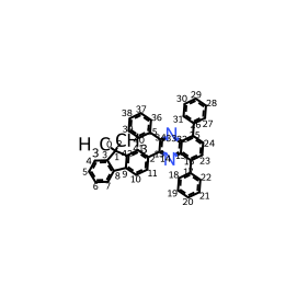 CC1(C)c2ccccc2-c2ccc(-c3nc4c(-c5ccccc5)ccc(-c5ccccc5)c4nc3-c3ccccc3)cc21